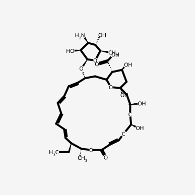 CC[C@H]1/C=C/C=C/C=C/C=C/[C@H](O[C@@H]2O[C@H](C)[C@@H](O)[C@H](N)[C@@H]2O)CC2O[C@](O)(C[C@@H](O)C[C@@H](O)C/C=C/C(=O)O[C@@H]1C)C[C@H](O)[C@H]2C(=O)O